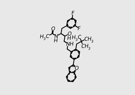 CC(=O)NC(Cc1cc(F)cc(F)c1)C(O)CNCc1cc(-c2cc3ccccc3o2)ccc1CC(C)(C)C